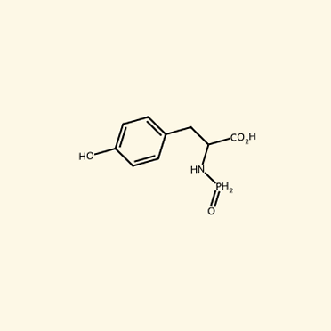 O=[PH2]NC(Cc1ccc(O)cc1)C(=O)O